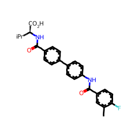 Cc1cc(C(=O)Nc2ccc(-c3ccc(C(=O)N[C@H](C(=O)O)C(C)C)cc3)cc2)ccc1F